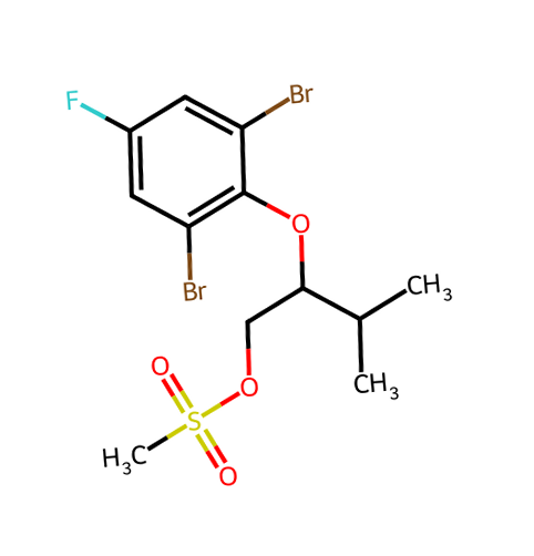 CC(C)C(COS(C)(=O)=O)Oc1c(Br)cc(F)cc1Br